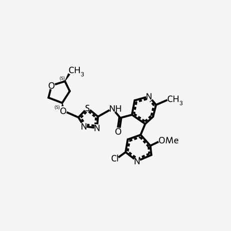 COc1cnc(Cl)cc1-c1cc(C)ncc1C(=O)Nc1nnc(O[C@@H]2CO[C@@H](C)C2)s1